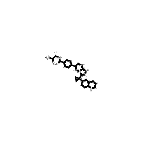 C[C@H](NC(=O)c1ccc(-c2cnc3nnc(C4(c5ccc6ncccc6c5)CC4)n3n2)cc1)C(N)=O